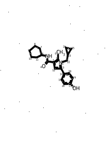 Cc1c(C(=O)NC2CCCCC2)cc(-c2ccc(O)cc2)n1CC1CC1